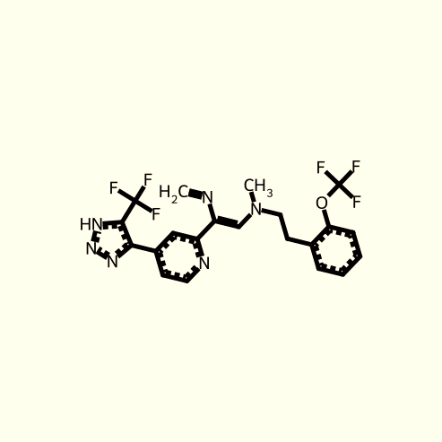 C=N/C(=C\N(C)CCc1ccccc1OC(F)(F)F)c1cc(-c2nn[nH]c2C(F)(F)F)ccn1